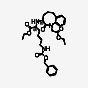 CCOC(=O)CN1C(=O)[C@@H](N[C@@H](CCCCNC(=O)OCc2ccccc2)C(=O)OCC)CCCc2ccccc21